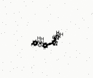 Cc1ccc(NC(=O)Nc2cccc(C#Cc3cncc(C(=O)N=[SH](C)(C)O)c3)c2)cc1